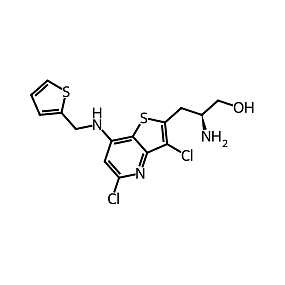 N[C@H](CO)Cc1sc2c(NCc3cccs3)cc(Cl)nc2c1Cl